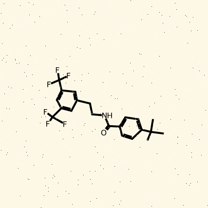 CC(C)(C)c1ccc(C(=O)NCCc2cc(C(F)(F)F)cc(C(F)(F)F)c2)cc1